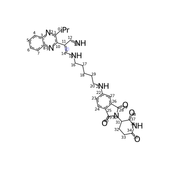 CC(C)c1nc2ccccc2nc1/C(C=N)=C/NCCCCCNc1ccc2c(c1)C(=O)N(C1CCC(=O)NC1=O)C2=O